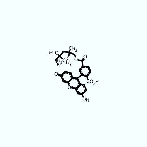 CC(C)(CBr)CC(C)(C)COC(=O)c1ccc(C(=O)O)c(-c2c3ccc(=O)cc-3oc3cc(O)ccc23)c1